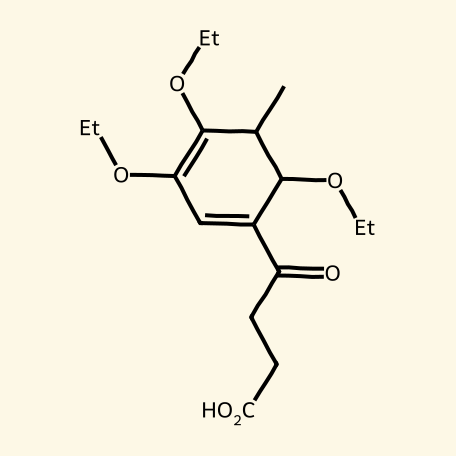 CCOC1=C(OCC)C(C)C(OCC)C(C(=O)CCC(=O)O)=C1